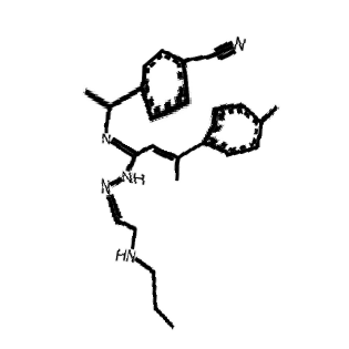 CCCNC/C=N\NC(/C=C(\C)c1ccc(C)cc1)=N/C(C)c1ccc(C#N)cc1